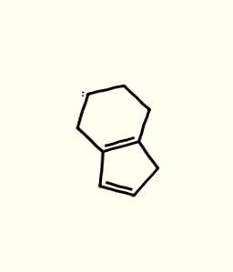 [C]1CCC2=C(C=CC2)C1